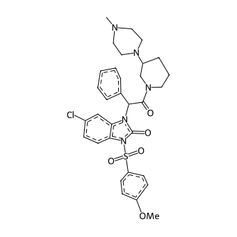 COc1ccc(S(=O)(=O)n2c(=O)n(C(C(=O)N3CCCC(N4CCN(C)CC4)C3)c3ccccc3)c3cc(Cl)ccc32)cc1